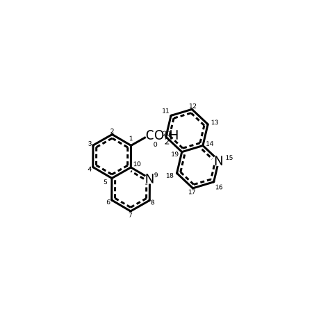 O=C(O)c1cccc2cccnc12.c1ccc2ncccc2c1